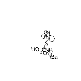 CC(C)(C)OC(=O)N[C@@H](CSCC1CCCCc2noc(=O)n21)C(=O)O